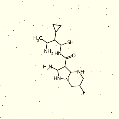 CC(N)C(C1CC1)C(S)NC(=O)C1C(N)NN2CC(F)CNC12